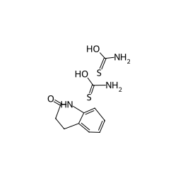 NC(O)=S.NC(O)=S.O=C1CCc2ccccc2N1